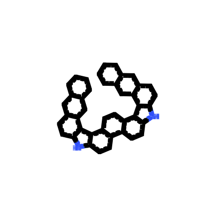 c1ccc2cc3c(ccc4[nH]c5ccc6c7ccc8[nH]c9ccc%10cc%11ccccc%11cc%10c9c8c7ccc6c5c43)cc2c1